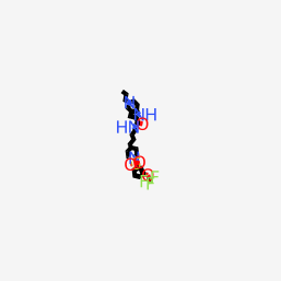 CCCN1CCc2[nH]c(C(=O)NCCCCC3CCN(S(=O)(=O)c4cccc(OC(F)(F)F)c4)CC3)cc2C1